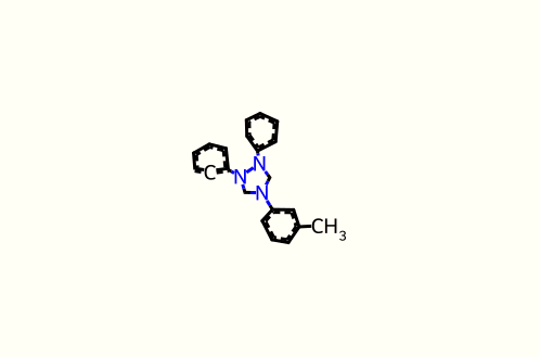 Cc1cccc(N2CN(c3ccccc3)N(c3ccccc3)C2)c1